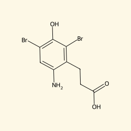 Nc1cc(Br)c(O)c(Br)c1CCC(=O)O